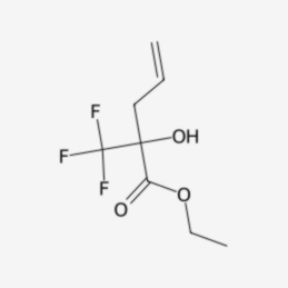 C=CCC(O)(C(=O)OCC)C(F)(F)F